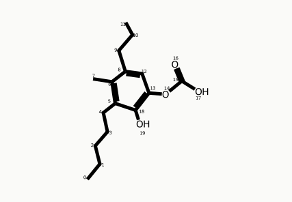 CCCCCc1c(C)c(CCC)cc(OC(=O)O)c1O